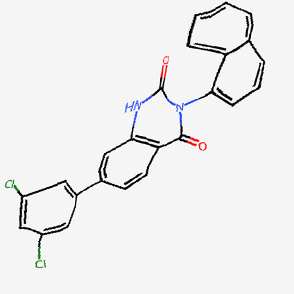 O=c1[nH]c2cc(-c3cc(Cl)cc(Cl)c3)ccc2c(=O)n1-c1cccc2ccccc12